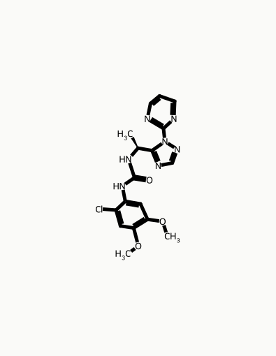 COc1cc(Cl)c(NC(=O)N[C@@H](C)c2ncnn2-c2ncccn2)cc1OC